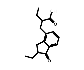 CCC(Cc1cccc2c1CC(CC)C2=O)C(=O)O